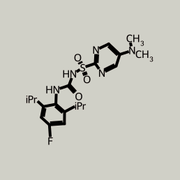 CC(C)c1cc(F)cc(C(C)C)c1NC(=O)NS(=O)(=O)c1ncc(N(C)C)cn1